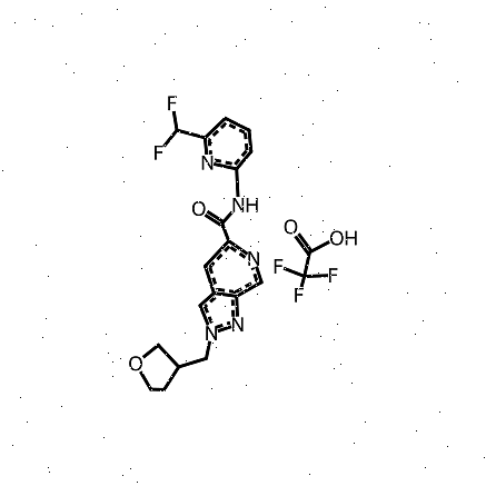 O=C(Nc1cccc(C(F)F)n1)c1cc2cn(CC3CCOC3)nc2cn1.O=C(O)C(F)(F)F